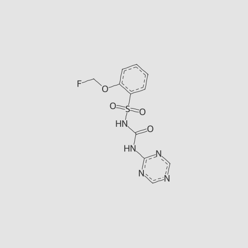 O=C(Nc1ncncn1)NS(=O)(=O)c1ccccc1OCF